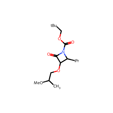 COC(C)COC1C(=O)N(C(=O)OCC(C)(C)C)C1C(C)C